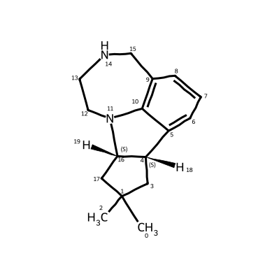 CC1(C)C[C@H]2c3cccc4c3N(CCNC4)[C@H]2C1